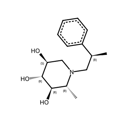 C[C@@H]1[C@@H](O)[C@H](O)[C@@H](O)CN1C[C@H](C)c1ccccc1